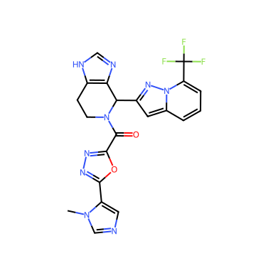 Cn1cncc1-c1nnc(C(=O)N2CCc3[nH]cnc3C2c2cc3cccc(C(F)(F)F)n3n2)o1